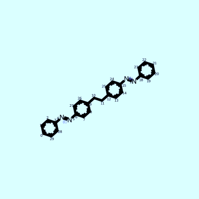 c1ccc(/N=N/c2ccc(CCc3ccc(/N=N/c4ccccc4)cc3)cc2)cc1